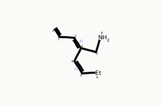 C=C/C=C(\C=C/CC)CN